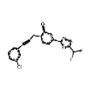 O=c1nc(-c2nnc(C(F)F)o2)ccn1CC#Cc1cccc(Cl)c1